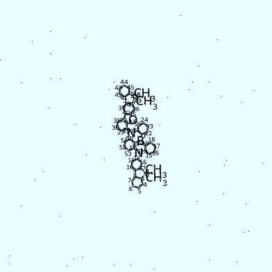 CC1(C)c2ccccc2-c2ccc(N3c4ccccc4B4c5ccccc5N(c5cccc6c5oc5cc7c(cc56)-c5ccccc5C7(C)C)c5cccc3c54)cc21